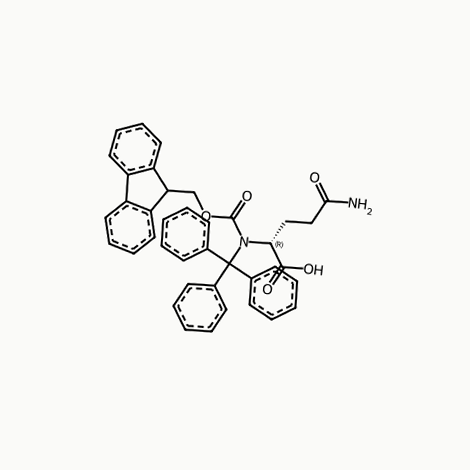 NC(=O)CC[C@H](C(=O)O)N(C(=O)OCC1c2ccccc2-c2ccccc21)C(c1ccccc1)(c1ccccc1)c1ccccc1